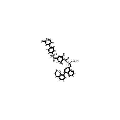 O=C(N[C@@H](Cc1ccc(-c2cccc3c2OCCC3)c2ncccc12)C(=O)O)c1c(F)cc(NS(=O)(=O)c2ccc(-c3ccnc(F)c3)cc2)cc1F